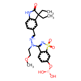 CCC1(CC)C(=O)Nc2ccc(/C=N/N(CCOC)C3=NS(=O)(=O)c4cc(OB(O)O)ccc43)cc21